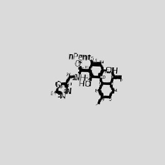 C=C(C)C1CCC(C)=CC1c1c(O)cc(CCCCC)c(C(=O)NCc2nnco2)c1O